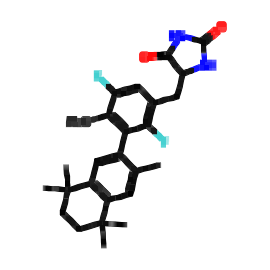 COc1c(F)cc(CC2NC(=O)NC2=O)c(F)c1-c1cc2c(cc1C)C(C)(C)CCC2(C)C